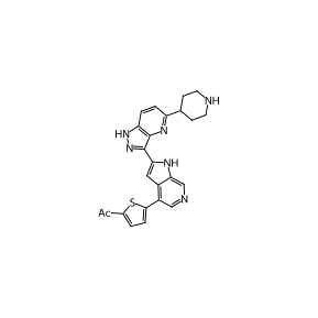 CC(=O)c1ccc(-c2cncc3[nH]c(-c4n[nH]c5ccc(C6CCNCC6)nc45)cc23)s1